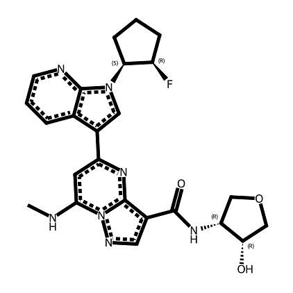 CNc1cc(-c2cn([C@H]3CCC[C@H]3F)c3ncccc23)nc2c(C(=O)N[C@@H]3COC[C@@H]3O)cnn12